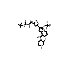 C[C@@H](NC(=O)OC(C)(C)C)c1nc(-c2cc3c(N[C@@H]4CCN(C)C[C@@H]4F)cccn3c2SC(F)(F)F)no1